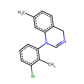 Cc1ccc2c(c1)N(c1cccc(Br)c1C)C=NC2